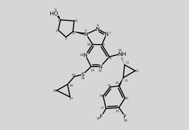 O[C@@H]1CC[C@H](n2nnc3c(N[C@@H]4C[C@H]4c4ccc(F)c(F)c4)nc(SCC4CC4)nc32)C1